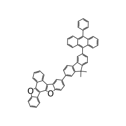 CC1(C)c2ccc(-c3c4ccccc4c(-c4ccccc4)c4ccccc34)cc2-c2ccc(-c3ccc4oc5c(c4c3)c3ccccc3c3oc4ccccc4c35)cc21